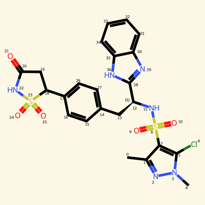 Cc1nn(C)c(Cl)c1S(=O)(=O)N[C@@H](Cc1ccc(C2CC(=O)NS2(=O)=O)cc1)c1nc2ccccc2[nH]1